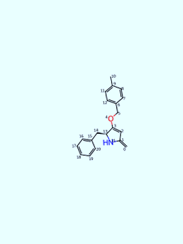 C=C1C=C(OCc2ccc(C)cc2)[C@H](Cc2ccccc2)N1